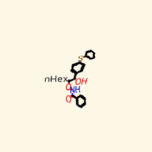 CCCCCCC(ONC(=O)c1ccccc1)C(O)c1ccc(Sc2ccccc2)cc1